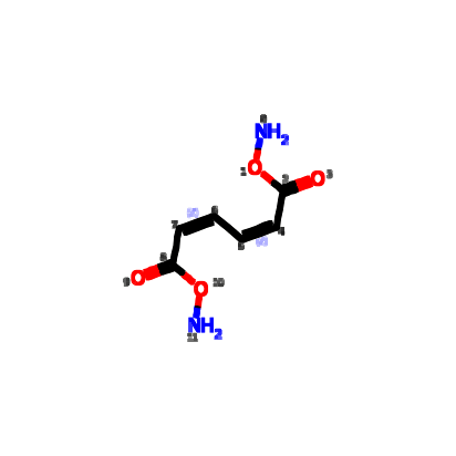 NOC(=O)/C=C\C=C/C(=O)ON